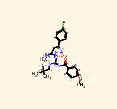 CNC(CC(N=O)c1ccc(F)cc1)N/C(=N\C(=O)c1ccc(OC)cc1)NCC(C)(C)C